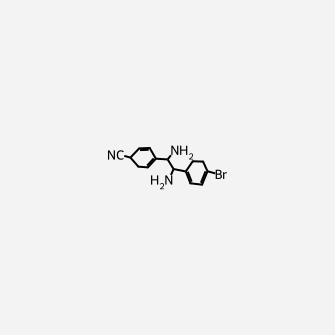 N#CC1C=CC(C(N)C(N)C2=CC=C(Br)CC2)=CC1